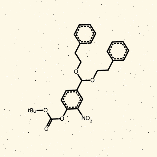 CC(C)(C)OC(=O)Oc1ccc(C(OCCc2ccccc2)OCCc2ccccc2)cc1[N+](=O)[O-]